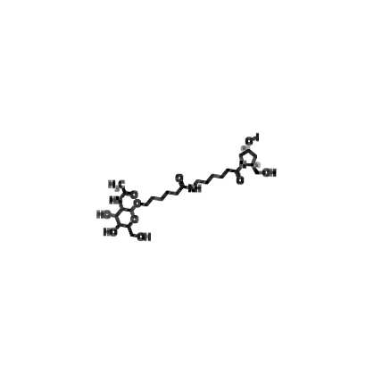 CC(=O)NC1C(OCCCCCC(=O)NCCCCCC(=O)N2C[C@H](OI)C[C@H]2CO)OC(CO)C(O)C1O